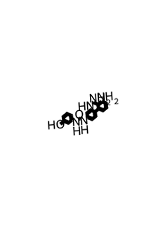 N=C(N)c1c(N)cccc1-c1ccc(NC(=O)Nc2cccc(O)c2)cc1